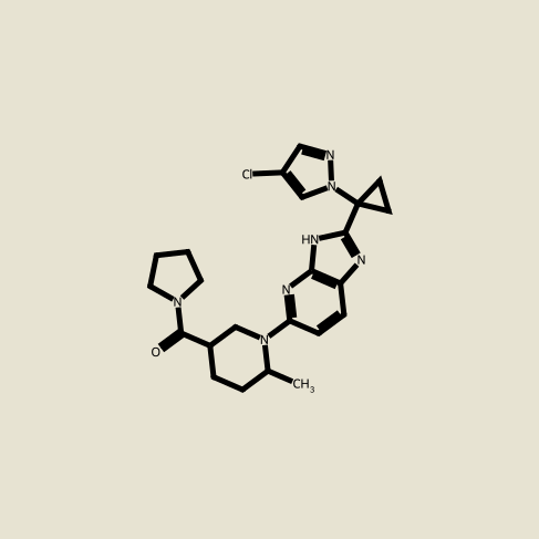 CC1CCC(C(=O)N2CCCC2)CN1c1ccc2nc(C3(n4cc(Cl)cn4)CC3)[nH]c2n1